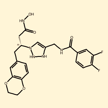 O=C(C[C@@H](Cc1ccc2c(c1)OCCO2)N1C=C(CNC(=O)c2ccc(F)c(F)c2)NN1)NO